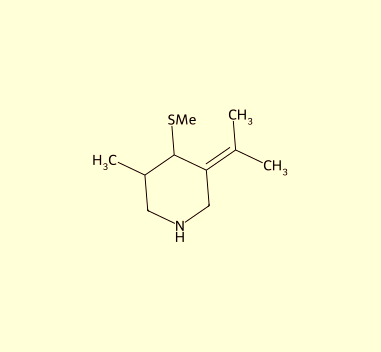 CSC1C(=C(C)C)CNCC1C